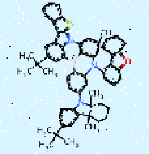 Cc1cc2c3c(c1)-n1c4sc5ccccc5c4c4cc(C(C)(C)C)cc(c41)B3c1ccc(N3c4ccc(C(C)(C)C)cc4C4(C)CCCCC34C)cc1N2c1cccc2oc3ccccc3c12